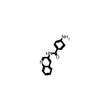 Nc1ccc(C(=O)Nc2cnc3ccccc3c2)cc1